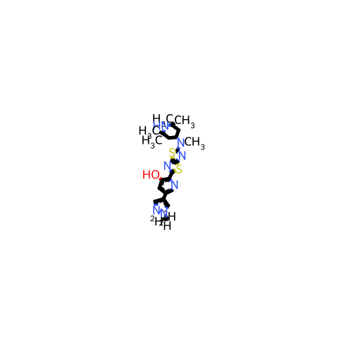 [2H]C([2H])([2H])n1cc(-c2cnc(-c3nc4sc(N(C)C5CC(C)(C)NC(C)(C)C5)nc4s3)c(O)c2)cn1